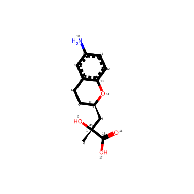 C[C@@](O)(C[C@H]1CCc2cc(N)ccc2O1)C(=O)O